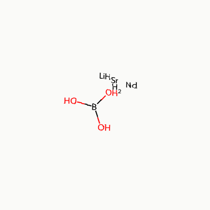 OB(O)O.[LiH].[Nd].[SrH2]